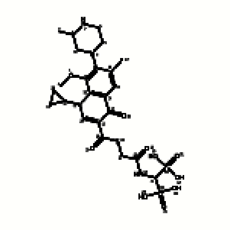 COc1c(N2CCNC(C)C2)c(F)cc2c(=O)c(C(=O)SCC(=O)NC(P(=O)(O)O)P(=O)(O)O)cn(C3CC3)c12